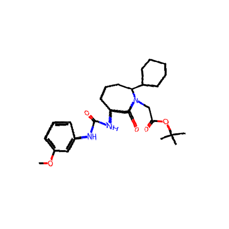 COc1cccc(NC(=O)NC2CCCC(C3CCCCC3)N(CC(=O)OC(C)(C)C)C2=O)c1